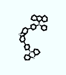 c1ccc(N(c2ccc(-c3ccc4oc5ccc(-c6ccc(N7c8ccccc8Sc8ccccc87)cc6)cc5c4c3)cc2)c2c3ccccc3cc3ccccc23)cc1